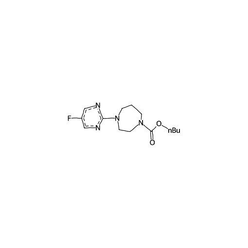 CCCCOC(=O)N1CCCN(c2ncc(F)cn2)CC1